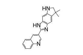 CC1(C)CNc2cc3[nH]c(-c4cnc5ccccc5c4)nc3cc21